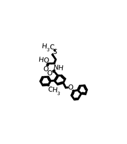 CSCCC(NC(=O)c1ccc(COc2cccc3ccccc23)cc1-c1ccccc1C)C(=O)O